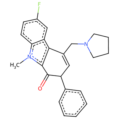 Cn1c2c(c3cc(F)ccc31)C(CN1CCCC1)=CC(c1ccccc1)C2=O